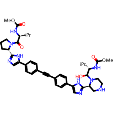 COC(=O)N[C@@H](C(C)C)C(O)N1CCNC[C@H]1c1ncc(-c2ccc(C#Cc3ccc(-c4cnc([C@@H]5CCCN5C(=O)[C@@H](NC(=O)OC)C(C)C)[nH]4)cc3)cc2)[nH]1